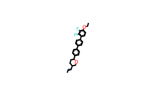 C/C=C/C1CCC(c2ccc(-c3ccc(-c4ccc(OCC)c(F)c4F)cc3)cc2)OC1